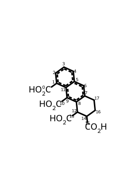 O=C(O)c1cccc2cc3c(c(C(=O)O)c12)C(C(=O)O)C(C(=O)O)CC3